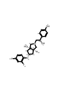 Oc1ccc([C@@H](O)CN2C[C@H]3C[C@H](Oc4ccc(F)cc4F)C[C@@]3(O)C2)cc1